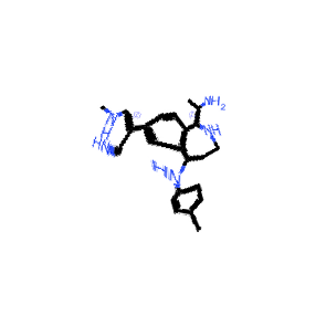 CN/C=C(\C=N)c1ccc2c(c1)C(Nc1ccc(C)cc1)CCN/C2=C(/C)N